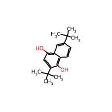 CC(C)(C)c1ccc2c(O)c(C(C)(C)C)cc(O)c2c1